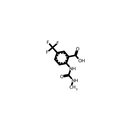 CNC(=O)Nc1ccc(C(F)(F)F)cc1C(=O)O